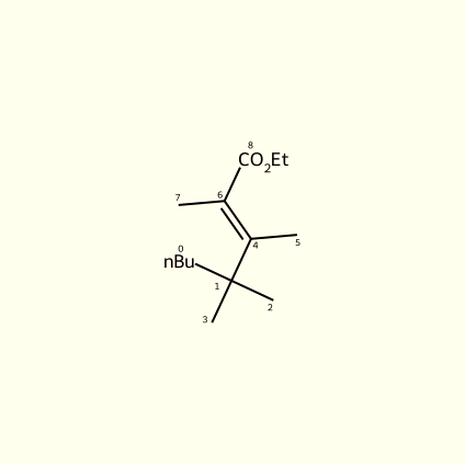 CCCCC(C)(C)C(C)=C(C)C(=O)OCC